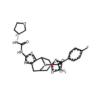 CC(=O)N1CC2Cc3nc(NC(=O)N[C@@H]4CCOC4)sc3C(C1)N2c1nc(-c2ccc(F)cc2)no1